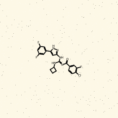 O=C(/N=C(\Nc1cc(-c2cc(F)cc(F)c2)[nH]n1)NC1CCC1)c1ccc(Cl)c(F)c1